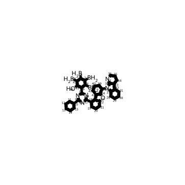 Bc1c(B)c(B)c(-c2nc(-c3ccccc3)nc(-c3cccc4oc5c(-n6c7ccccc7c7cccnc76)cccc5c34)n2)c(O)c1B